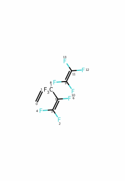 C=C.FC(F)=C(F)C(F)(F)F.FC(F)=C(F)F